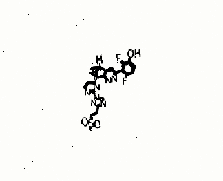 CC1(C)[C@H]2CC[C@@]1(c1ccnc(-n3cnc(CCS(C)(=O)=O)n3)n1)c1nnc(-c3c(F)ccc(O)c3F)cc12